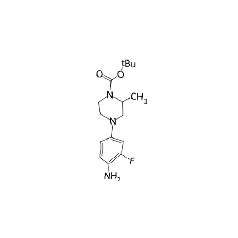 CC1CN(c2ccc(N)c(F)c2)CCN1C(=O)OC(C)(C)C